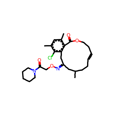 Cc1cc(C)c2c(c1Cl)C/C(=N\OCC(=O)N1CCCCC1)CC(C)CC/C=C/CCOC2=O